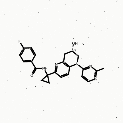 Cc1nccc(N2C[C@@H](O)Cc3nc(C4(NC(=O)c5ccc(F)cc5)CC4)ccc32)n1